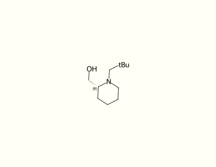 CC(C)(C)CN1CCCC[C@@H]1CO